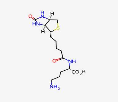 NCCC[C@H](NC(=O)CCCC[C@@H]1SC[C@@H]2NC(=O)N[C@@H]21)C(=O)O